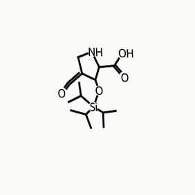 CC(C)[Si](OC1C(=C=O)CNC1C(=O)O)(C(C)C)C(C)C